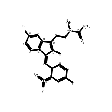 CC1=CC(=S(=O)=O)C(C=C2C(C)=C(CCN(O)C(N)=O)c3cc(F)ccc32)C=C1